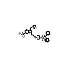 CC(OC(c1ccccc1)c1ccccc1)N1CCN(CCCn2cc(Cn3ccnc3)c3ccc(C(=O)O)cc32)CC1